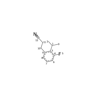 CC(C)c1c(F)cccc1CCC#N